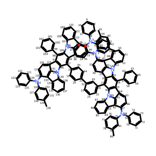 Cc1ccc(N(c2ccccc2)c2ccc3c4c(-c5ccc(-c6cccc(-c7c8c9ccc(N(c%10ccccc%10)c%10cccc(C)c%10)c%10c%11ccccc%11n(c8c(-c8ccccc8)c8c%11ccc(N(c%12ccccc%12)c%12cccc(C)c%12)c%12c%13ccccc%13n(c78)c%11%12)c9%10)c6)cc5)c5c(c(-c6ccccc6)c4n4c6ccccc6c2c34)c2ccc(N(c3ccccc3)c3ccc(C)cc3)c3c4ccccc4n5c23)cc1